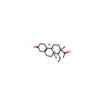 CC[C@H]1[C@@H]2CCC3=C(CCC(=O)C3)[C@H]2CC[C@]1(C)C(C)=O